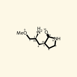 COC[C@@H](N)C[C@@H]1CCNC1=O